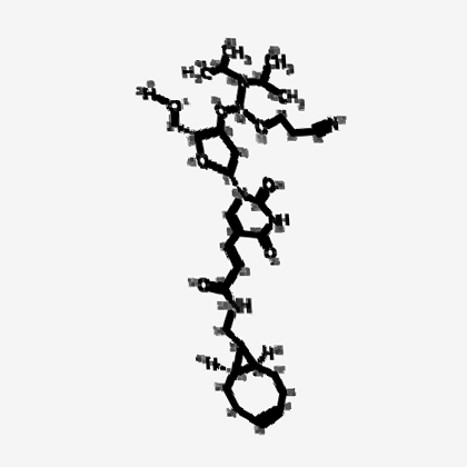 [2H]OC[C@H]1O[C@@H](n2cc(/C=C/C(=O)NC[C@@H]3[C@@H]4CCC#CCC[C@@H]43)c(=O)[nH]c2=O)CC1OP(OCCC#N)N(C(C)C)C(C)C